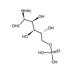 CC(=O)N[C@H](C=O)[C@@H](O)[C@H](O)[C@H](O)COP(=O)(O)O